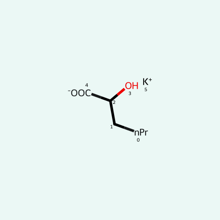 CCCCC(O)C(=O)[O-].[K+]